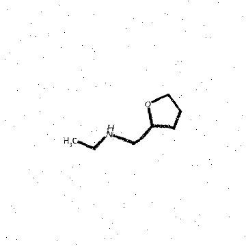 CCNCC1CCCO1